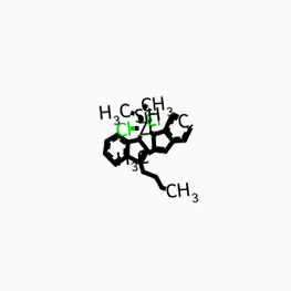 CCCCC1=C[CH]([Zr]([Cl])([Cl])([CH]2C(C)=Cc3ccccc32)[SiH](C)C)c2ccccc21